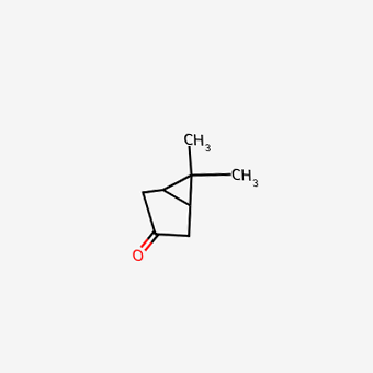 CC1(C)C2CC(=O)CC21